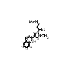 CCC(CCNC)N1C=C(C2C=Nc3ccccc3N2)CN1C